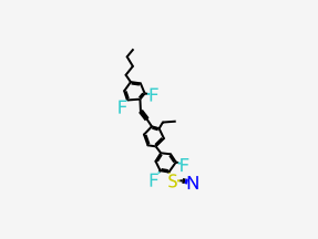 CCCCc1cc(F)c(C#Cc2ccc(-c3cc(F)c(SC#N)c(F)c3)cc2CC)c(F)c1